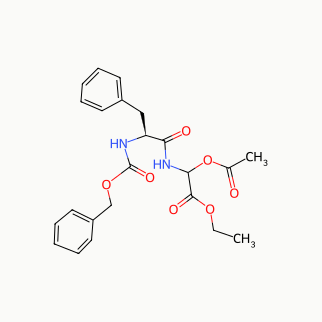 CCOC(=O)C(NC(=O)[C@H](Cc1ccccc1)NC(=O)OCc1ccccc1)OC(C)=O